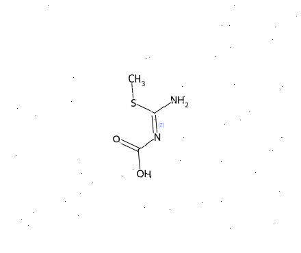 CS/C(N)=N\C(=O)O